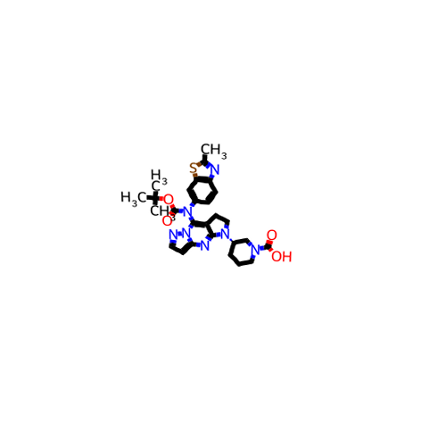 Cc1nc2ccc(N(C(=O)OC(C)(C)C)c3c4c(nc5ccnn35)N([C@H]3CCCN(C(=O)O)C3)CC4)cc2s1